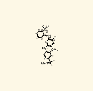 CNC(C)(C)c1ccc(Nc2ncc(Cl)c(Nc3ccccc3P(C)(C)=O)n2)c(OC)c1